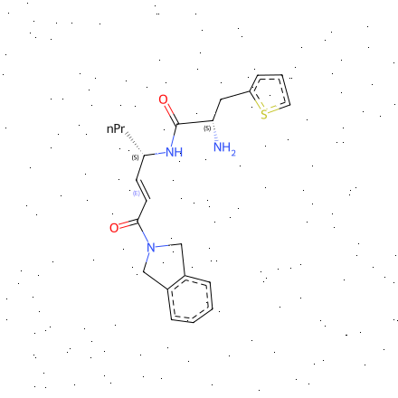 CCC[C@@H](/C=C/C(=O)N1Cc2ccccc2C1)NC(=O)[C@@H](N)Cc1cccs1